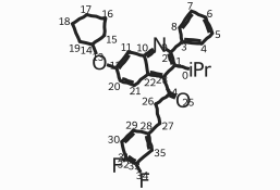 CC(C)c1c(-c2ccccc2)nc2cc(OC3CCCCC3)ccc2c1C(=O)CCc1ccc(F)c(F)c1